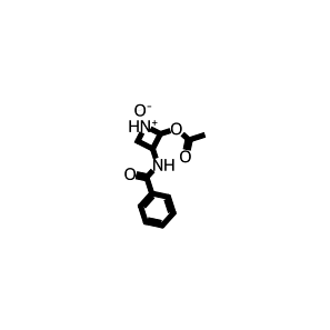 CC(=O)OC1C(NC(=O)c2ccccc2)C[NH+]1[O-]